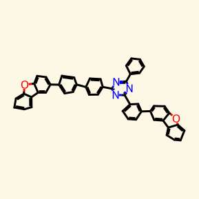 c1ccc(-c2nc(-c3ccc(-c4ccc(-c5ccc6oc7ccccc7c6c5)cc4)cc3)nc(-c3cccc(-c4ccc5oc6ccccc6c5c4)c3)n2)cc1